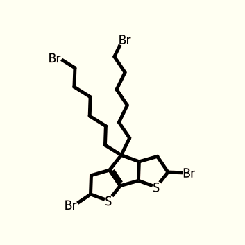 BrCCCCCCC1(CCCCCCBr)C2=C(SC(Br)C2)C2SC(Br)CC21